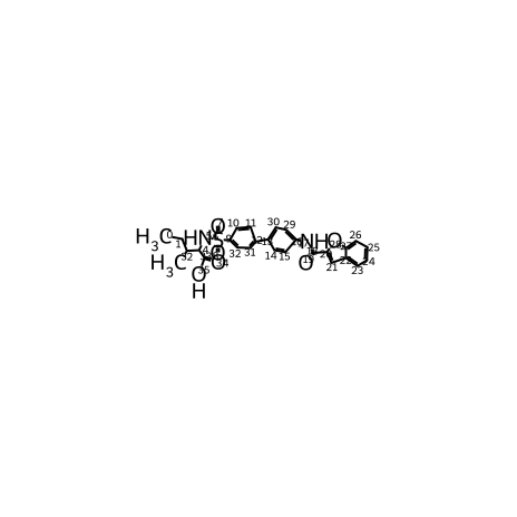 CCC(C)C(NS(=O)(=O)c1ccc(-c2ccc(NC(=O)c3cc4ccccc4o3)cc2)cc1)C(=O)O